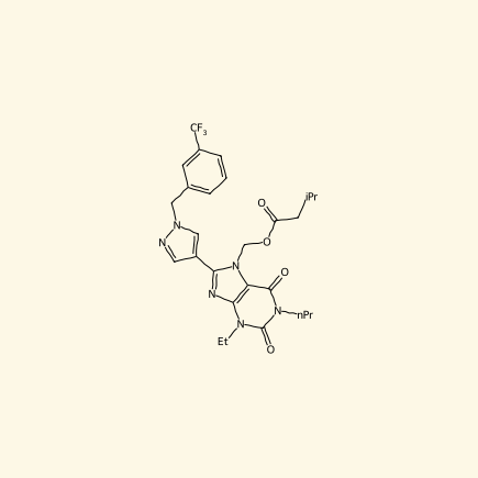 CCCn1c(=O)c2c(nc(-c3cnn(Cc4cccc(C(F)(F)F)c4)c3)n2COC(=O)CC(C)C)n(CC)c1=O